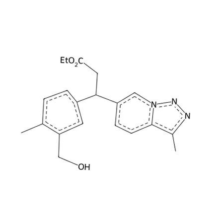 CCOC(=O)CC(c1ccc(C)c(CO)c1)c1ccc2c(C)nnn2c1